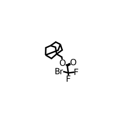 O=C(OCC12CC3CC(CC(C3)C1)C2)C(F)(F)Br